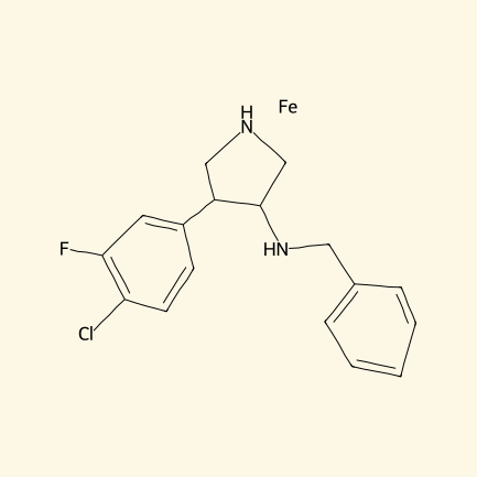 Fc1cc(C2CNCC2NCc2ccccc2)ccc1Cl.[Fe]